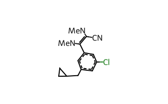 CN/C(C#N)=C(\NC)c1cc(Cl)cc(CC2CC2)c1